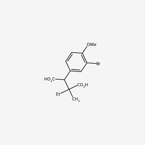 CCC(C)(C(=O)O)C(C(=O)O)c1ccc(OC)c(Br)c1